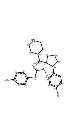 CN(C(=O)Oc1ccc(F)cc1)[C@]1(C(=O)C2CCNCC2)CNC[C@H]1c1ccc(Cl)cc1